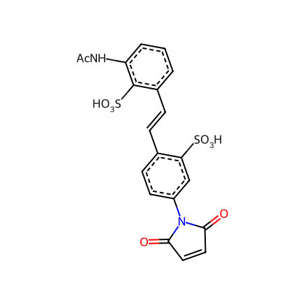 CC(=O)Nc1cccc(C=Cc2ccc(N3C(=O)C=CC3=O)cc2S(=O)(=O)O)c1S(=O)(=O)O